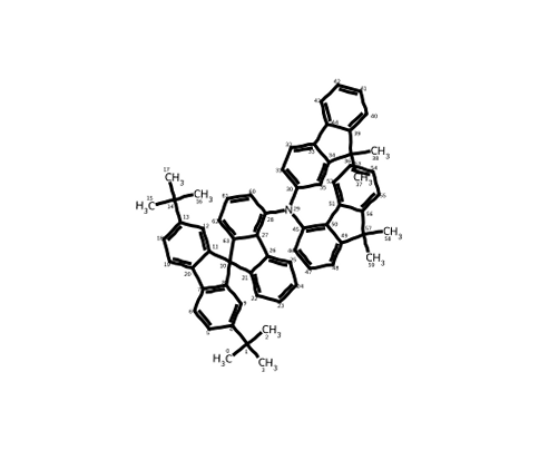 CC(C)(C)c1ccc2c(c1)C1(c3cc(C(C)(C)C)ccc3-2)c2ccccc2-c2c(N(c3ccc4c(c3)C(C)(C)c3ccccc3-4)c3cccc4c3-c3ccccc3C4(C)C)cccc21